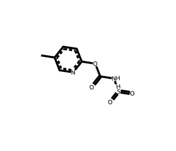 Cc1ccc(OC(=O)N[SH](=O)=O)nc1